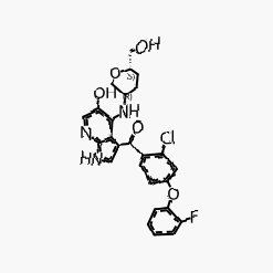 O=C(c1ccc(Oc2ccccc2F)cc1Cl)c1c[nH]c2ncc(O)c(N[C@@H]3CC[C@@H](CO)OC3)c12